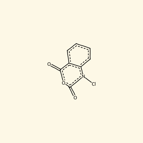 O=c1oc(=O)n(Cl)c2ccccc12